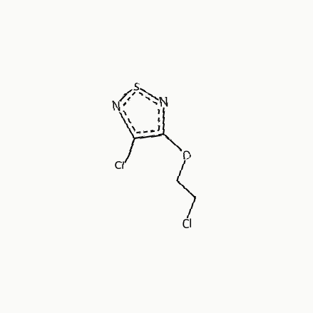 ClCCOc1nsnc1Cl